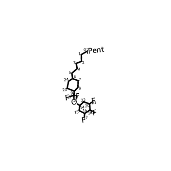 CCCC(C)CCCCCC1CCC(C(F)(F)OC2CC(F)C(F)C(F)C2)CC1